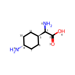 NC(C(=O)O)[C@H]1CC[C@H](N)CC1